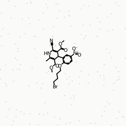 COC(=O)C1=C(C)NC(C#N)=C(C(=O)OC)C1c1cc([N+](=O)[O-])ccc1OCCCCBr